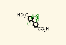 Cl.Cl.O=C(O)c1ccc(-c2ccc(C(=O)O)cc2Cl)c(Cl)c1